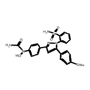 COc1ccc(-c2cc(-c3ccc(N(O)C(N)=O)cc3)nn2-c2ccccc2S(N)(=O)=O)cc1